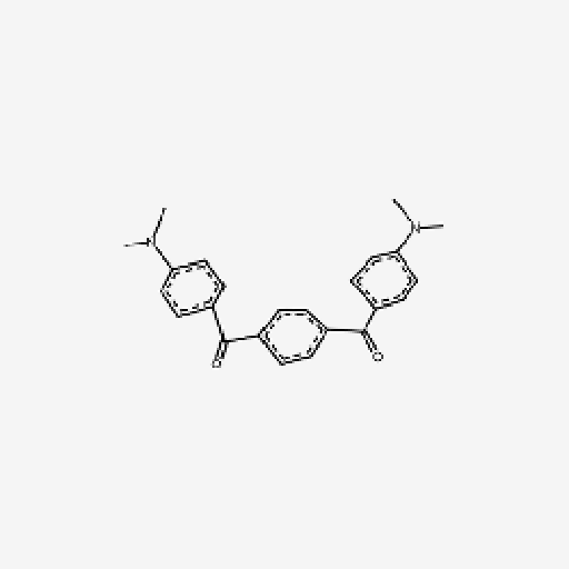 CN(C)c1ccc(C(=O)c2ccc(C(=O)c3ccc(N(C)C)cc3)cc2)cc1